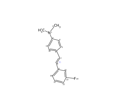 CN(C)c1ccc(/C=C/c2cccc(F)c2)cc1